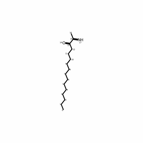 CCCCCCCCCCCCCC(=O)C(C)=N